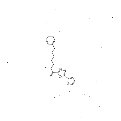 C=C(CCCCCCc1ccccc1)c1nnc(-c2ccco2)o1